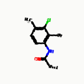 CCCC(C)C(=O)Nc1ccc(C)c(Cl)c1C(C)C